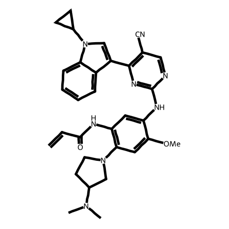 C=CC(=O)Nc1cc(Nc2ncc(C#N)c(-c3cn(C4CC4)c4ccccc34)n2)c(OC)cc1N1CCC(N(C)C)C1